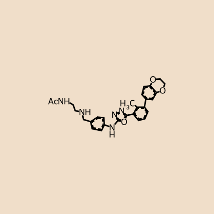 CC(=O)NCCNCc1ccc(Nc2nnc(-c3cccc(-c4ccc5c(c4)OCCO5)c3C)o2)cc1